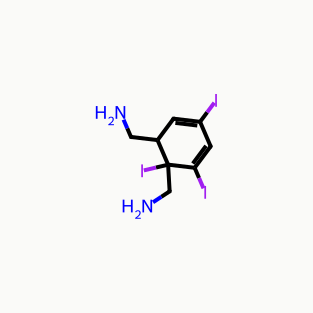 NCC1C=C(I)C=C(I)C1(I)CN